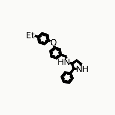 CCc1ccc(Oc2cccc(CNC3CCNC3c3ccccc3)c2)cc1